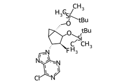 CC(C)(C)[Si](C)(C)OC[C@@]12CC1[C@@H](n1cnc3c(Cl)ncnc31)[C@H](F)C2O[Si](C)(C)C(C)(C)C